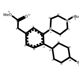 CCCCN1CCN(c2cc(CC(=O)OC)ccc2C2CCC(C(C)(C)C)CC2)CC1